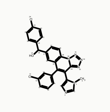 Cn1cncc1-c1c(-c2cccc(Cl)c2)c2cc(C(O)c3ccc(Cl)cc3)ccc2n2nnnc12